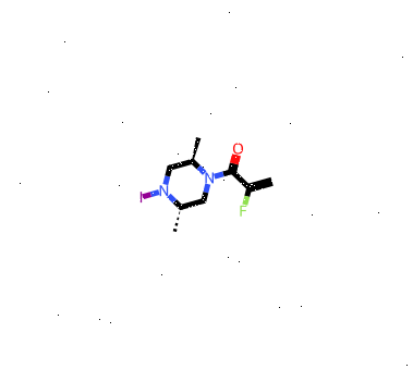 C=C(F)C(=O)N1C[C@H](C)N(I)C[C@H]1C